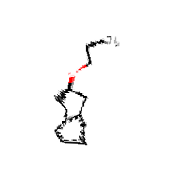 CCCOC1Cc2ccccc2C1